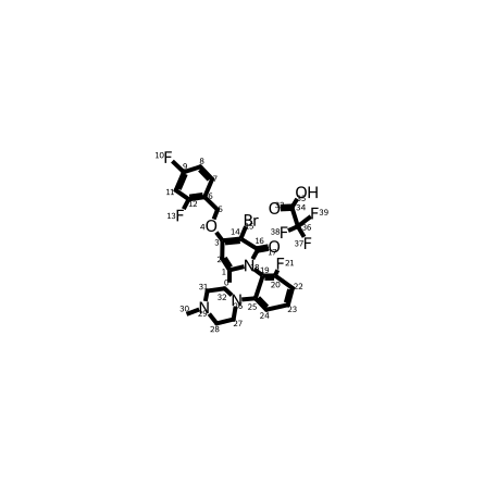 Cc1cc(OCc2ccc(F)cc2F)c(Br)c(=O)n1-c1c(F)cccc1N1CCN(C)CC1.O=C(O)C(F)(F)F